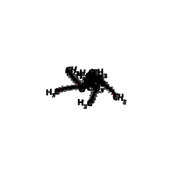 CCCCCCCCCCCCCC(CCCCCCCCCCCCC)C(=O)OCC1O[C@H](O[C@H]2OC(COC(=O)C(CCCCCCCCCCCCC)CCCCCCCCCCCCC)[C@@H](C)[C@H](C)C2C)C(C)[C@@H](C)[C@@H]1C